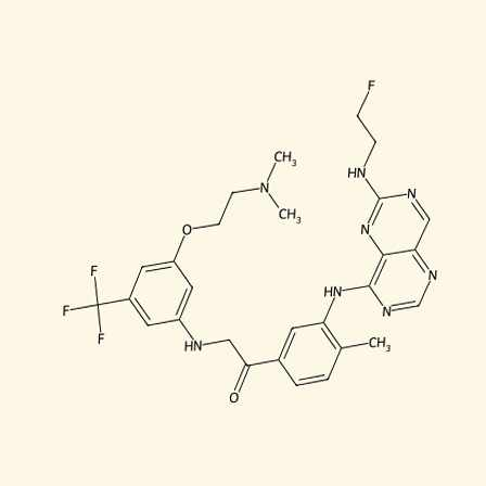 Cc1ccc(C(=O)CNc2cc(OCCN(C)C)cc(C(F)(F)F)c2)cc1Nc1ncnc2cnc(NCCF)nc12